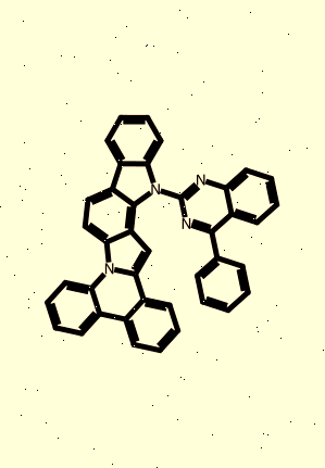 c1ccc(-c2nc(-n3c4ccccc4c4ccc5c(cc6c7ccccc7c7ccccc7n65)c43)nc3ccccc23)cc1